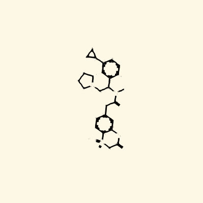 CN(C(=O)Cc1ccc2c(c1)NC(=O)CS2(=O)=O)C(CN1CCCC1)c1cccc(C2CC2)c1